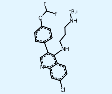 CC(C)(C)NCCCNc1c(-c2ccc(OC(F)F)cc2)cnc2cc(Cl)ccc12